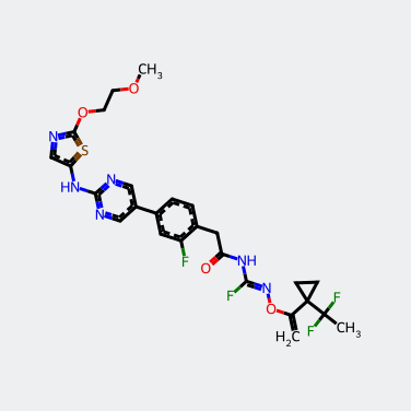 C=C(O/N=C(\F)NC(=O)Cc1ccc(-c2cnc(Nc3cnc(OCCOC)s3)nc2)cc1F)C1(C(C)(F)F)CC1